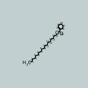 CCCCCCCCCCCCCCCCCCOC(=O)C1=CCCCC1